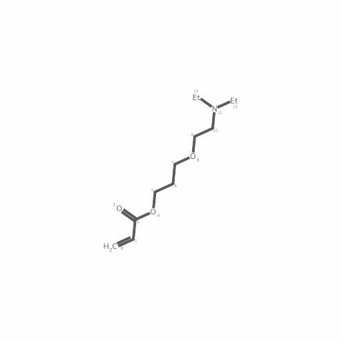 C=CC(=O)OCCCOCCN(CC)CC